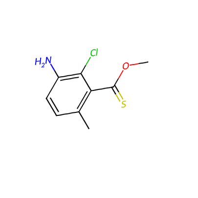 COC(=S)c1c(C)ccc(N)c1Cl